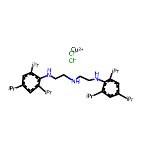 CC(C)c1cc(C(C)C)c(NCCNCCNc2c(C(C)C)cc(C(C)C)cc2C(C)C)c(C(C)C)c1.[Cl-].[Cl-].[Cu+2]